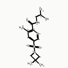 CC1(C)CN(S(=O)(=O)c2cnc(C(=O)NCC(O)C(F)(F)F)c(N)c2)C1